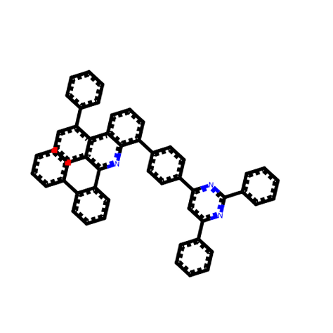 c1ccc(-c2cc(-c3ccc(-c4cccc5c4nc(-c4ccccc4-c4ccccc4)c4cccc(-c6ccccc6)c45)cc3)nc(-c3ccccc3)n2)cc1